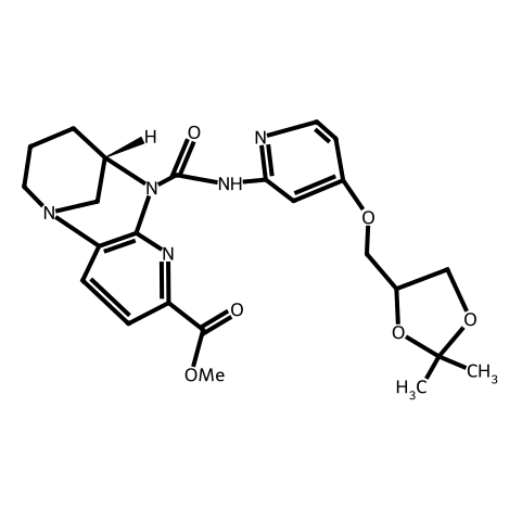 COC(=O)c1ccc2c(n1)N(C(=O)Nc1cc(OCC3COC(C)(C)O3)ccn1)[C@H]1CCCN2C1